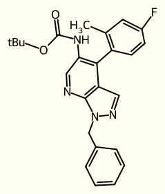 Cc1cc(F)ccc1-c1c(NC(=O)OC(C)(C)C)cnc2c1cnn2Cc1ccccc1